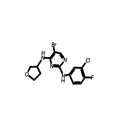 Fc1ccc(Nc2ncc(Br)c(NC3CCOC3)n2)cc1Cl